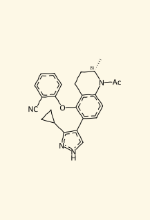 CC(=O)N1c2ccc(-c3c[nH]nc3C3CC3)c(Oc3ccccc3C#N)c2CC[C@@H]1C